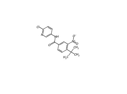 CC(C)(C)c1ccc(C(=O)Nc2ccc(Cl)nc2)cc1[N+](=O)[O-]